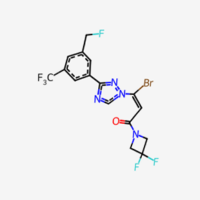 O=C(/C=C(/Br)n1cnc(-c2cc(CF)cc(C(F)(F)F)c2)n1)N1CC(F)(F)C1